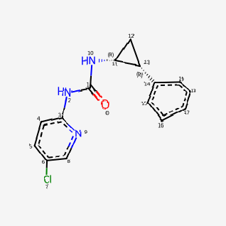 O=C(Nc1ccc(Cl)cn1)N[C@@H]1C[C@@H]1c1ccccc1